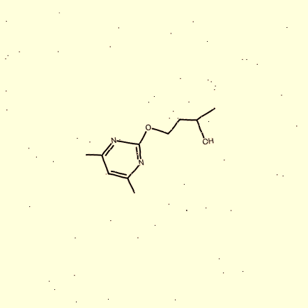 Cc1[c]c(C)nc(OCCC(C)O)n1